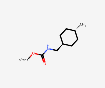 CCCCCOC(=O)NC[C@H]1CC[C@H](C)CC1